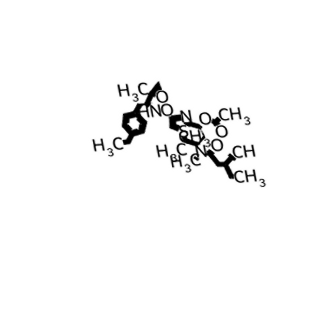 C#CC(CC)CC(=O)N(C)[C@H](C[C@@H](OC(C)=O)c1nc(ON[C@@H](Cc2ccc(CC)cc2)C2(C)CO2)cs1)C(C)C